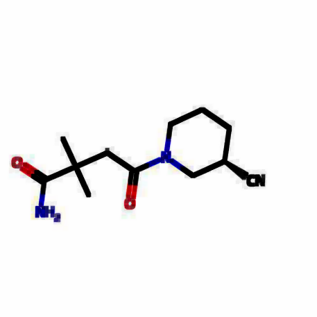 CC(C)([CH]C(=O)N1CCC[C@@H](C#N)C1)C(N)=O